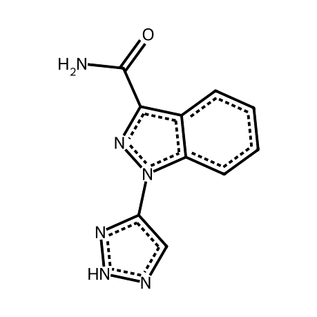 NC(=O)c1nn(-c2cn[nH]n2)c2ccccc12